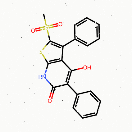 CS(=O)(=O)c1sc2[nH]c(=O)c(-c3ccccc3)c(O)c2c1-c1ccccc1